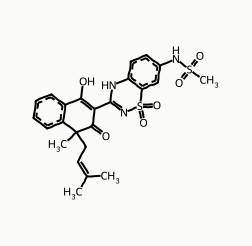 CC(C)=CCC1(C)C(=O)C(C2=NS(=O)(=O)c3cc(NS(C)(=O)=O)ccc3N2)=C(O)c2ccccc21